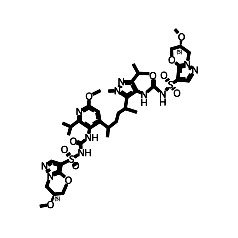 COc1cc(C(C)CCC(C)c2c(NC(=O)NS(=O)(=O)c3cnn4c3OC[C@@H](OC)C4)c(C(C)C)nn2C)c(NC(=O)NS(=O)(=O)c2cnn3c2OC[C@@H](OC)C3)c(C(C)C)n1